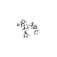 CCC(CN1CC[C@@H](CNC(=O)c2csc(-c3ccccc3)n2)N[C@@H](CCN2CCCCC2)C1=O)c1ccccc1